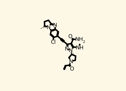 C=CC(=O)N1CC[C@H](n2nc(C#Cc3cc4nc5n(c4cc3Cl)[C@H](C)CC5)c(C(N)=O)c2NC)C1